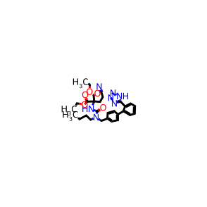 CCCCN(Cc1ccc(-c2ccccc2-c2nnn[nH]2)cc1)C(=O)NC(CCC#N)(C(=O)OCC)C(=O)OCC